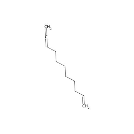 C=C=CCCCCCCC=C